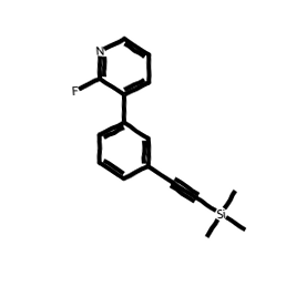 C[Si](C)(C)C#Cc1cccc(-c2cccnc2F)c1